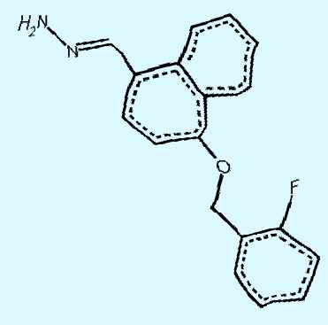 NN=Cc1ccc(OCc2ccccc2F)c2ccccc12